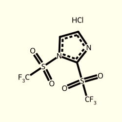 Cl.O=S(=O)(c1nccn1S(=O)(=O)C(F)(F)F)C(F)(F)F